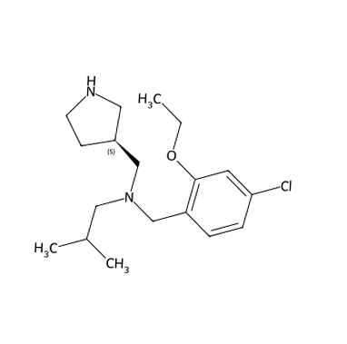 CCOc1cc(Cl)ccc1CN(CC(C)C)C[C@H]1CCNC1